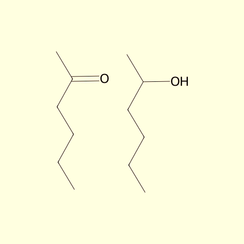 CCCCC(C)=O.CCCCC(C)O